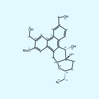 COc1cc2c3c(c4ccc(CO)cc4c2cc1CO)[C@H](O)[C@@H]1CC[C@H](CC(C)=O)ON1C3